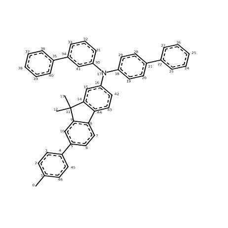 Cc1ccc(-c2ccc3c(c2)C(C)(C)c2cc(N(c4ccc(-c5ccccc5)cc4)c4cccc(-c5ccccc5)c4)ccc2-3)cc1